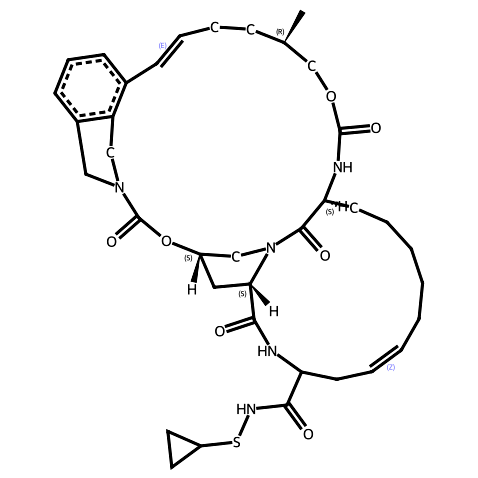 C[C@@H]1CC/C=C/c2cccc3c2CN(C3)C(=O)O[C@H]2C[C@H]3C(=O)NC(C(=O)NSC4CC4)C/C=C\CCCCC[C@H](NC(=O)OC1)C(=O)N3C2